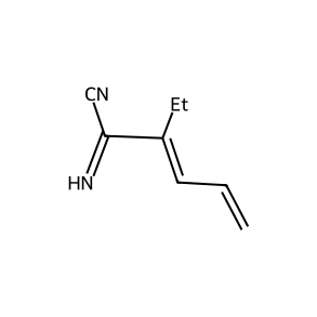 C=C/C=C(\CC)C(=N)C#N